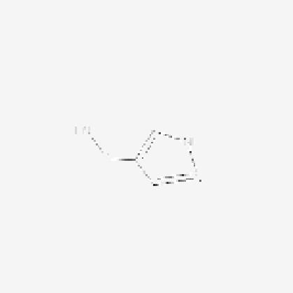 NSc1cn[nH]c1